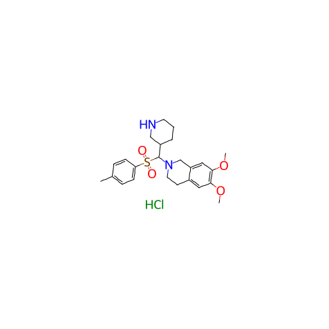 COc1cc2c(cc1OC)CN(C(C1CCCNC1)S(=O)(=O)c1ccc(C)cc1)CC2.Cl